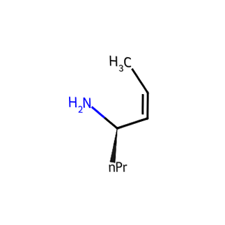 C/C=C\[C@H](N)CCC